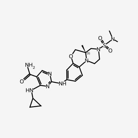 CN(C)S(=O)(=O)N1CCN2c3ccc(Nc4ncc(C(N)=O)c(NC5CC5)n4)cc3OC[C@]2(C)C1